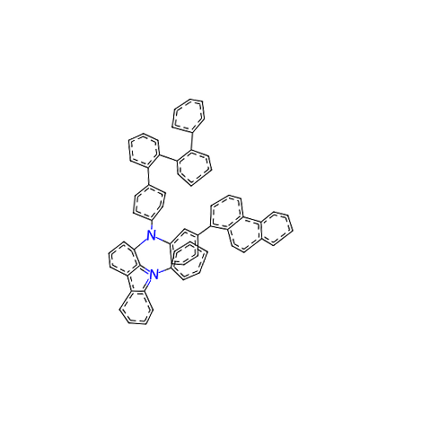 c1ccc(-c2ccccc2-c2ccccc2-c2ccc(N(c3cccc(-c4cccc5c4ccc4ccccc45)c3)c3cccc4c5ccccc5n(-c5ccccc5)c34)cc2)cc1